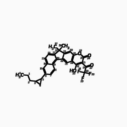 CCCC1CC1c1ccc2c3c(ccc2c1)C(C)(C)c1cc2oc(=O)c(C(=O)C(F)(F)F)c(O)c2cc1-3